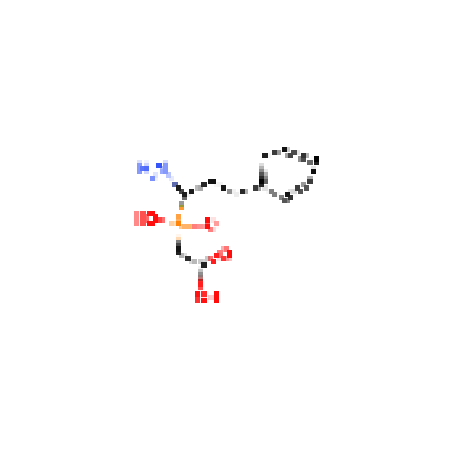 NC(CCc1ccccc1)P(=O)(O)CC(=O)O